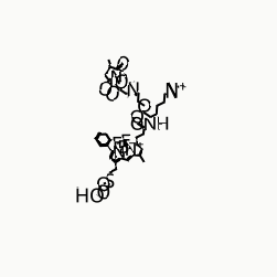 CC1=CC(CCC(=O)NC(CCCC[N+](C)(C)C)C(=O)OCCN(C)CC(=O)ON2C(=O)CC(C)C2=O)=[N+]2C1=Cc1c(CCSOOO)cc(-c3ccccc3)n1[B-]2(F)F